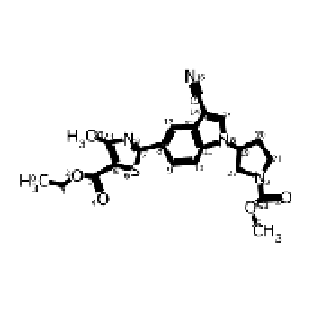 CCOC(=O)c1sc(-c2ccc3c(c2)c(C#N)cn3C2CCN(C(=O)OC)C2)nc1C